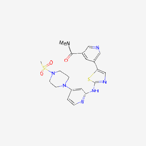 CNC(=O)c1cncc(-c2cnc(Nc3cc(N4CCN(S(C)(=O)=O)CC4)ccn3)s2)c1